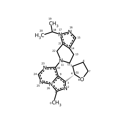 Cc1nc([C@@H]2CCCO2)c2c(N3CCc4cnn(C(C)C)c4C3)ncnn12